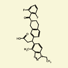 CCn1nnc2c(C)c(C(CC(=O)O)c3ccc4c(c3)CN(C(=O)c3c(F)cccc3F)CC4)ccc21